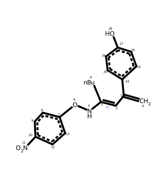 C=C(/C=C(\CCCC)NOc1ccc([N+](=O)[O-])cc1)c1ccc(O)cc1